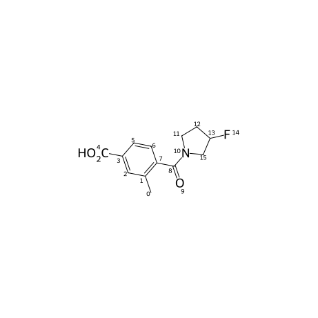 Cc1cc(C(=O)O)ccc1C(=O)N1CCC(F)C1